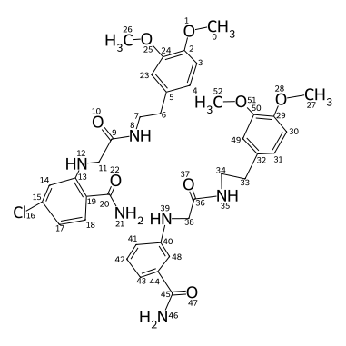 COc1ccc(CCNC(=O)CNc2cc(Cl)ccc2C(N)=O)cc1OC.COc1ccc(CCNC(=O)CNc2cccc(C(N)=O)c2)cc1OC